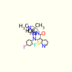 CN(C)CC(C)(C)CNC(=O)c1c(Nc2ccc(I)cc2F)sc2ncccc12